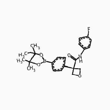 CC1(C)OB(c2ccc(C3(C(=O)Nc4ccc(F)cc4)COC3)cc2)OC1(C)C